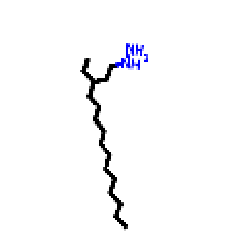 CCCCCCCCCCCCC(CC)CCNN